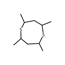 CC1CC(C)SC(C)CC(C)S1